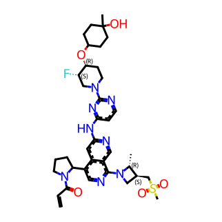 C=CC(=O)N1CCCC1c1cnc(N2C[C@H](CS(C)(=O)=O)[C@H]2C)c2cnc(Nc3ccnc(N4CC[C@@H](OC5CCC(C)(O)CC5)[C@@H](F)C4)n3)cc12